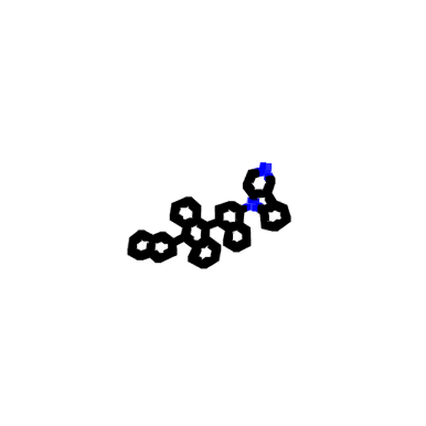 c1ccc2cc(-c3c4ccccc4c(-c4ccc(-n5c6ccccc6c6cnccc65)c5ccccc45)c4ccccc34)ccc2c1